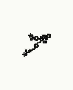 CC(C)(C)OC(=O)COCCCc1ccc(CCc2c(C3CCN(C(=O)OC(C)(C)C)CC3)nn(-c3nc4ccccc4[nH]3)c2O)cc1